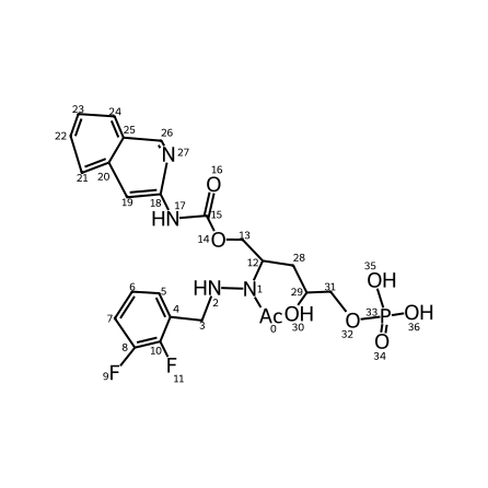 CC(=O)N(NCc1cccc(F)c1F)C(COC(=O)Nc1cc2ccccc2cn1)CC(O)COP(=O)(O)O